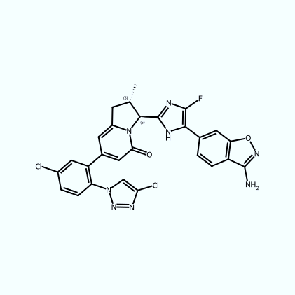 C[C@H]1Cc2cc(-c3cc(Cl)ccc3-n3cc(Cl)nn3)cc(=O)n2[C@@H]1c1nc(F)c(-c2ccc3c(N)noc3c2)[nH]1